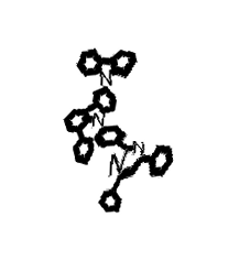 c1ccc(-c2cc(-c3ccccc3)nc(-c3ccc(-n4c5ccc(-n6c7ccccc7c7ccccc76)cc5c5cccc(-c6ccccc6)c54)cc3)n2)cc1